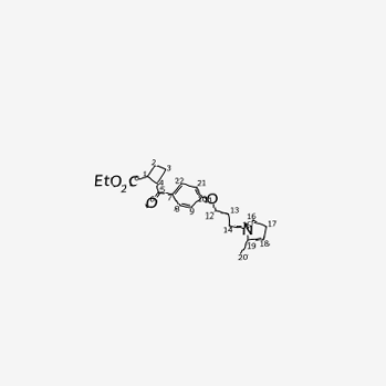 CCOC(=O)C1CCC1C(=O)c1ccc(OCCCN2CCCC2C)cc1